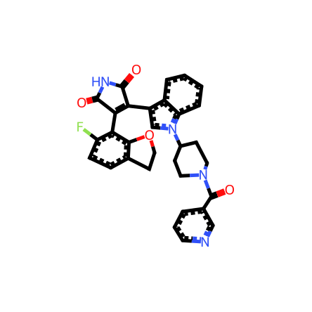 O=C1NC(=O)C(c2cn(C3CCN(C(=O)c4cccnc4)CC3)c3ccccc23)=C1c1c(F)ccc2c1OCC2